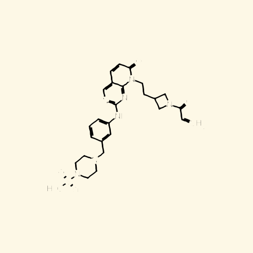 C=CC(=O)N1CC(CCn2c(=O)ccc3cnc(Nc4cccc(CN5CCN(S(C)(=O)=O)CC5)c4)nc32)C1